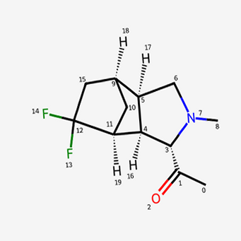 CC(=O)[C@@H]1[C@@H]2[C@H](CN1C)[C@H]1C[C@@H]2C(F)(F)C1